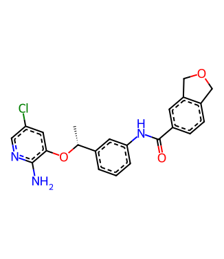 C[C@@H](Oc1cc(Cl)cnc1N)c1cccc(NC(=O)c2ccc3c(c2)COC3)c1